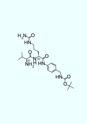 CC(C)[C@H](N)C(=O)N[C@@H](CCCNC(N)=O)C(=O)Nc1ccc(CNC(=O)OC(C)(C)C)cc1